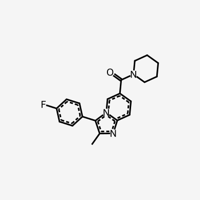 Cc1nc2ccc(C(=O)N3CCCCC3)cn2c1-c1ccc(F)cc1